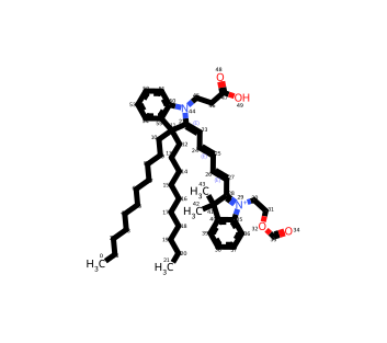 CCCCCCCCCCCC1(CCCCCCCCCC)\C(=C/C=C/C=C/C2=[N+](CCOC=O)c3ccccc3C2(C)C)N(CCC(=O)O)c2ccccc21